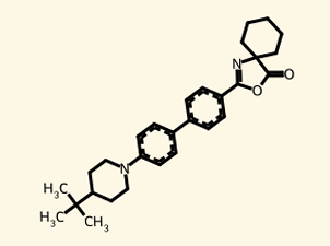 CC(C)(C)C1CCN(c2ccc(-c3ccc(C4=NC5(CCCCC5)C(=O)O4)cc3)cc2)CC1